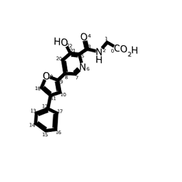 O=C(O)CNC(=O)c1ncc(-c2cc(-c3ccccc3)co2)cc1O